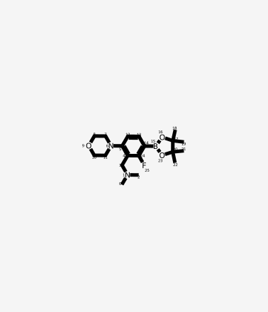 CN(C)Cc1c(N2CCOCC2)ccc(B2OC(C)(C)C(C)(C)O2)c1F